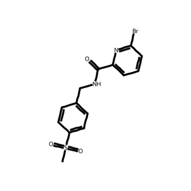 CS(=O)(=O)c1ccc(CNC(=O)c2cccc(Br)n2)cc1